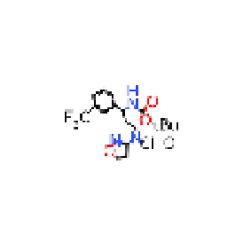 CC(C)(C)OC(=O)NC(CCN(C=O)c1ccon1)c1cccc(C(F)(F)F)c1